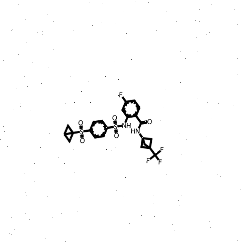 O=C(NC12CC(C(F)(F)F)(C1)C2)c1ccc(F)cc1NS(=O)(=O)c1ccc(S(=O)(=O)C23CC2C3)cc1